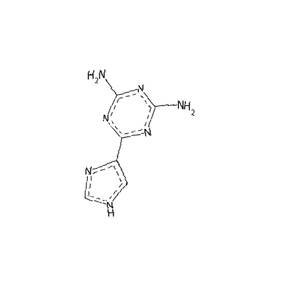 Nc1nc(N)nc(-c2c[nH]cn2)n1